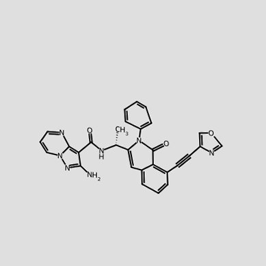 C[C@@H](NC(=O)c1c(N)nn2cccnc12)c1cc2cccc(C#Cc3cocn3)c2c(=O)n1-c1ccccc1